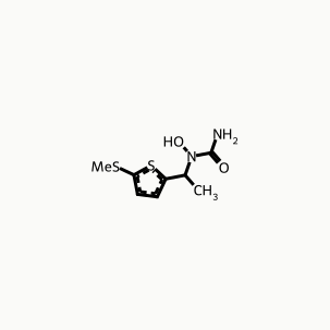 CSc1ccc(C(C)N(O)C(N)=O)s1